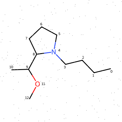 CCCCN1CCCC1C(C)OC